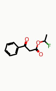 CC(F)OC(=O)CC(=O)c1ccccc1